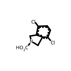 O=C(O)N1Cc2c(Cl)ccc(Cl)c2C1